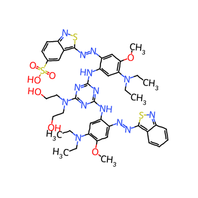 CCN(CC)c1cc(Nc2nc(Nc3cc(N(CC)CC)c(OC)cc3/N=N/c3snc4ccc(S(=O)(=O)O)cc34)nc(N(CCO)CCO)n2)c(/N=N/c2snc3ccccc23)cc1OC